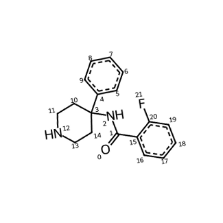 O=C(NC1(c2ccccc2)CCNCC1)c1ccccc1F